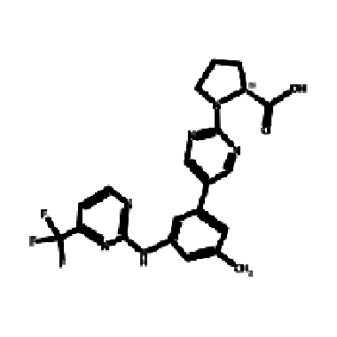 Cc1cc(Nc2nccc(C(F)(F)F)n2)cc(-c2cnc(N3CCC[C@H]3C(=O)O)nc2)c1